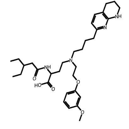 CCC(CC)CC(=O)NC(CCN(CCCCc1ccc2c(n1)NCCC2)CCOc1cccc(OC)c1)C(=O)O